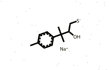 Cc1ccc(C(C)(C)C(O)C[S-])cc1.[Na+]